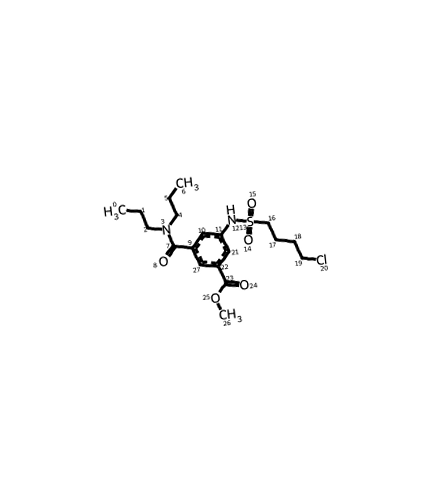 CCCN(CCC)C(=O)c1cc(NS(=O)(=O)CCCCCl)cc(C(=O)OC)c1